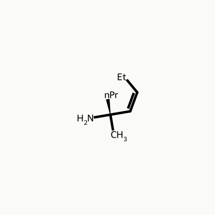 CC/C=C\[C@](C)(N)CCC